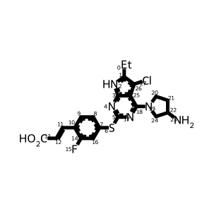 CCc1[nH]c2nc(Sc3ccc(/C=C/C(=O)O)c(F)c3)nc(N3CCC(N)C3)c2c1Cl